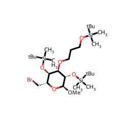 CO[C@H]1O[C@H](CBr)[C@@H](O[Si](C)(C)C(C)(C)C)[C@@H](OCCCO[Si](C)(C)C(C)(C)C)[C@@H]1O[Si](C)(C)C(C)(C)C